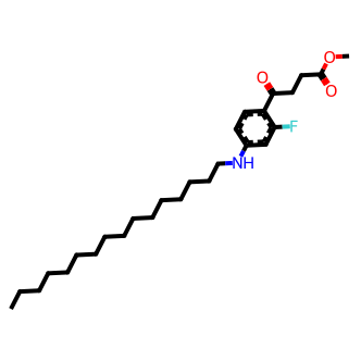 CCCCCCCCCCCCCCCCNc1ccc(C(=O)CCC(=O)OC)c(F)c1